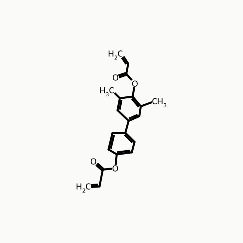 C=CC(=O)Oc1ccc(-c2cc(C)c(OC(=O)C=C)c(C)c2)cc1